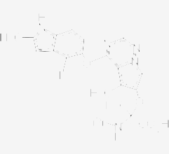 Cc1cc2c(F)c(Oc3ncnn4cc(O[C@](C)(NC(C)C)C(=O)O)c(C)c34)ccc2[nH]1